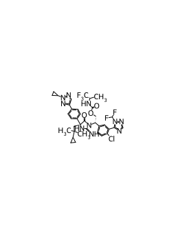 C[C@H](NC(=O)OC[C@H](c1ccc(Cl)c(-c2ncnn2C(F)F)c1)N1C(=N)N[C@](CC(C)(C)C2CC2)(c2ccc(-c3cnn(C4CC4)n3)cc2)C1=O)C(F)(F)F